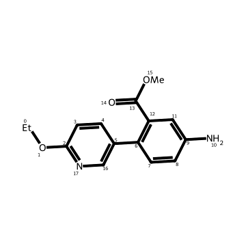 CCOc1ccc(-c2ccc(N)cc2C(=O)OC)cn1